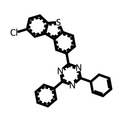 Clc1ccc2sc3ccc(-c4nc(-c5ccccc5)nc(C5C=CC=CC5)n4)cc3c2c1